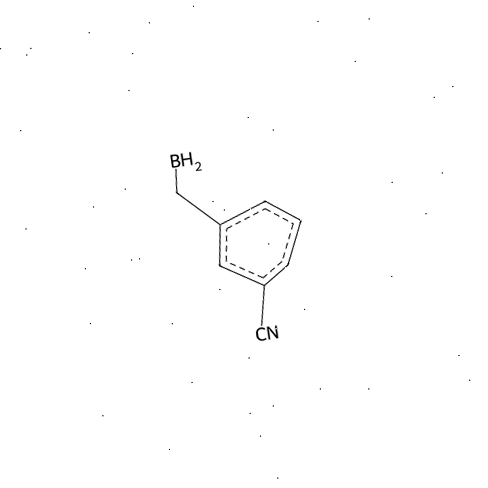 BCc1cccc(C#N)c1